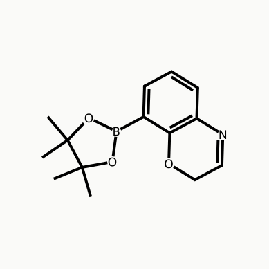 CC1(C)OB(c2cccc3c2OCC=N3)OC1(C)C